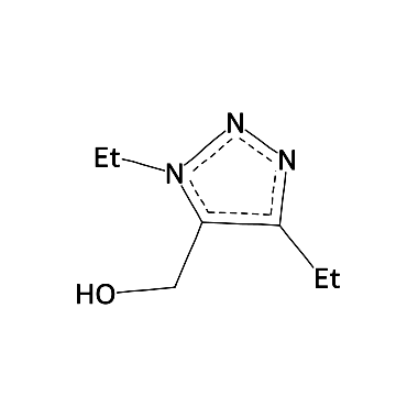 CCc1nnn(CC)c1CO